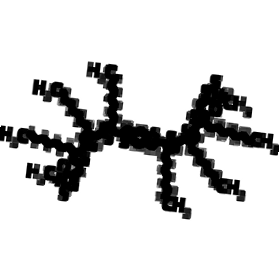 CCCCCCCCc1cc(/C=C2/SC(=S)N(CC)C2=O)sc1-c1cc(CCCCCCCC)c(-c2cc(CCCCCCCC)c(-c3cc4cc5sc(-c6sc(-c7sc(-c8sc(/C=C9/SC(=S)N(CC)C9=O)cc8CCCCCCCC)cc7CCCCCCCC)cc6CCCCCCCC)cc5cc4s3)s2)s1